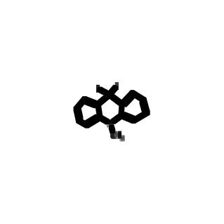 CN1c2ccccc2C(I)(I)c2ccccc21